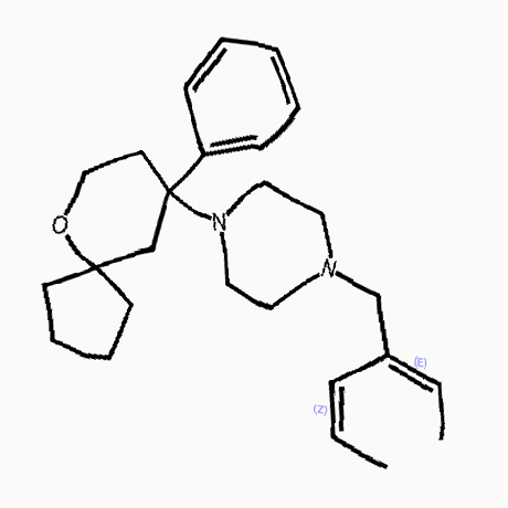 C/C=C\C(=C/C)CN1CCN(C2(c3ccccc3)CCOC3(CCCC3)C2)CC1